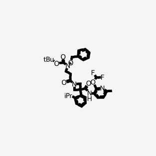 Cc1ccc(NC(=O)C2(c3ccccc3C(C)C)CN(C(=O)CCN(OCc3ccccc3)C(=O)OC(C)(C)C)C2)c(OC(F)F)n1